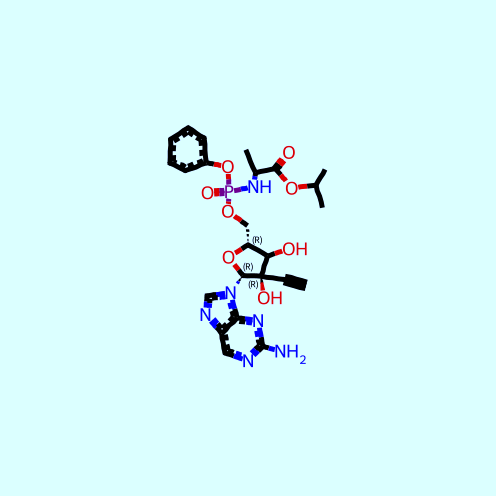 C#C[C@@]1(O)C(O)[C@@H](COP(=O)(NC(C)C(=O)OC(C)C)Oc2ccccc2)O[C@H]1n1cnc2cnc(N)nc21